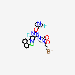 O=C(/C=C/CBr)N1CCN(c2nc(OC[C@@]34CCCN3C[C@H](F)C4)nc3c(F)c(-c4cccc5cccc(Cl)c45)ncc23)CC12COC2